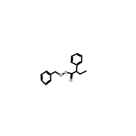 CCC(C(=O)OOCc1ccccc1)c1ccccc1